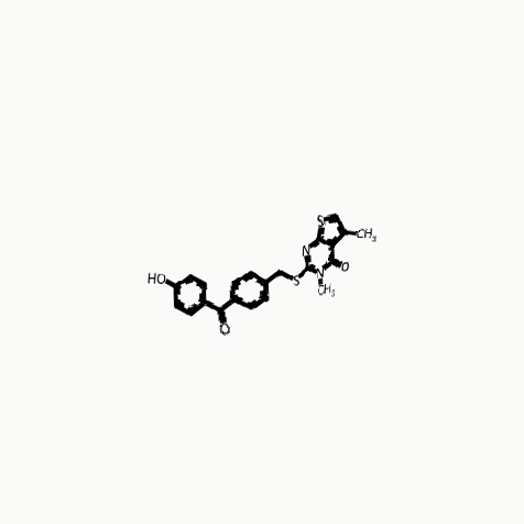 Cc1csc2nc(SCc3ccc(C(=O)c4ccc(O)cc4)cc3)n(C)c(=O)c12